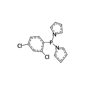 Clc1ccc(P(n2cccc2)n2cccc2)c(Cl)c1